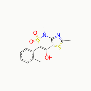 Cc1nc2c(s1)C(O)=C(c1ccccc1C)S(=O)(=O)N2C